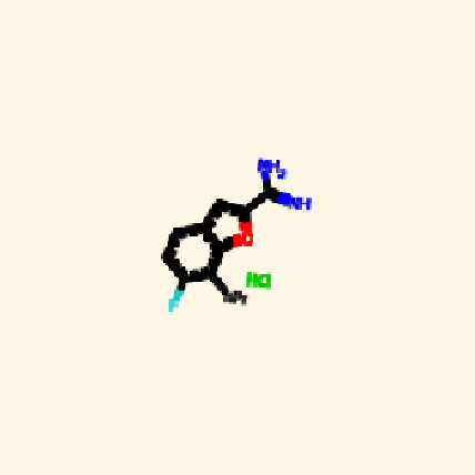 CCCc1c(F)ccc2cc(C(=N)N)oc12.Cl